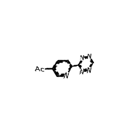 CC(=O)c1ccc(-c2nncnn2)nc1